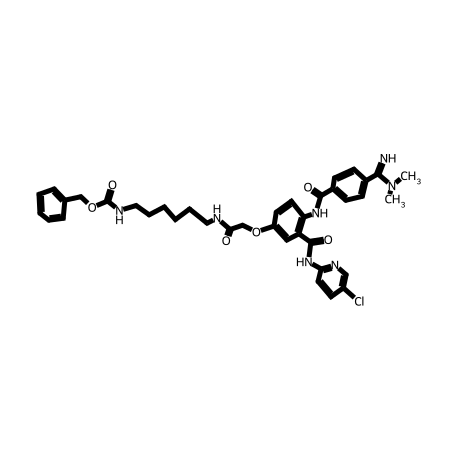 CN(C)C(=N)c1ccc(C(=O)Nc2ccc(OCC(=O)NCCCCCCNC(=O)OCc3ccccc3)cc2C(=O)Nc2ccc(Cl)cn2)cc1